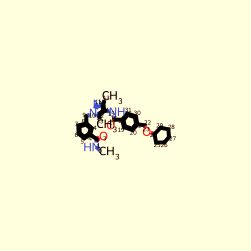 CNC(=O)c1cccc(Cn2nc(C)c(NC(=O)c3ccc(COC4CCCCC4)cc3)c2C)c1